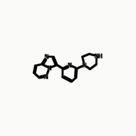 c1cc(-c2cnc3cccnn23)nc(N2CCNCC2)c1